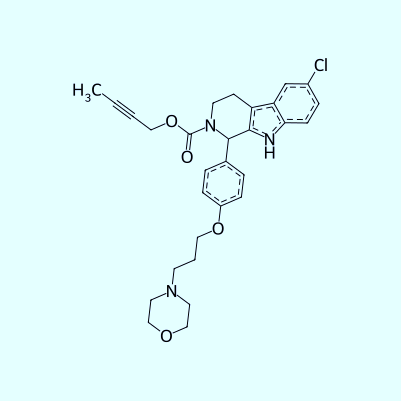 CC#CCOC(=O)N1CCc2c([nH]c3ccc(Cl)cc23)C1c1ccc(OCCCN2CCOCC2)cc1